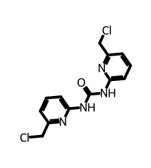 O=C(Nc1cccc(CCl)n1)Nc1cccc(CCl)n1